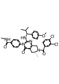 CNC(=O)c1ccc(-n2c(N[C@H](c3ccc(OC)cc3)C(C)C)nc3c(c2=O)C[C@@H](C)N(C(=O)c2ccc(Cl)c(Cl)c2)C3)cc1